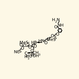 CC#CC(C)(OCC1O[C@@H](BC#CCNC(=O)COCCOC(COc2cccc(C(=O)NCCN)c2)SSC)C[C@H]1O[C@@H](COC(=O)OCSC#N)SSC)P(O)O